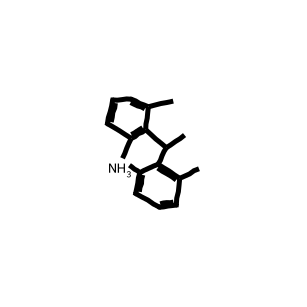 Cc1cccc(C)c1C(C)c1c(C)cccc1C.N